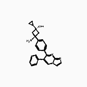 N[C@]1(c2ccc(-c3nc4nccn4cc3-c3ccccc3)cc2)C[C@](O)(C2CC2)C1